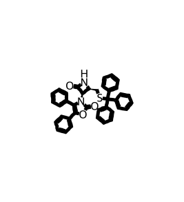 O=C1N[C@@H](CSC(c2ccccc2)(c2ccccc2)c2ccccc2)[C@H]1n1c(-c2ccccc2)c(-c2ccccc2)oc1=O